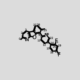 Cc1ccc2c(n1)oc1c(-c3ccc(-c4ccc(F)cc4F)cn3)c(C)ccc12